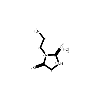 Cl.NCCN1C(=O)CNC1=O